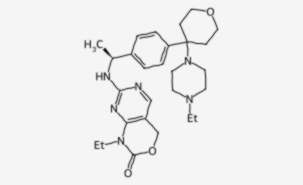 CCN1CCN(C2(c3ccc([C@H](C)Nc4ncc5c(n4)N(CC)C(=O)OC5)cc3)CCOCC2)CC1